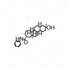 C[C@@]1(O)CC[C@H]2[C@H](CC[C@@H]3[C@@H]2CC[C@]2(C)C[C@@H](C(=O)Nc4ccccc4)CCC[C@@H]32)C1